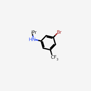 CC(C)Nc1cc(Br)cc(C(F)(F)F)c1